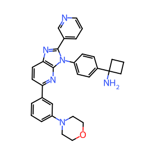 NC1(c2ccc(-n3c(-c4cccnc4)nc4ccc(-c5cccc(N6CCOCC6)c5)nc43)cc2)CCC1